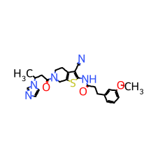 COc1cccc(CCC(=O)Nc2sc3c(c2C#N)CCN(C(=O)CC(C)n2ccnc2)C3)c1